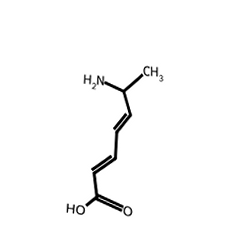 CC(N)/C=C/C=C/C(=O)O